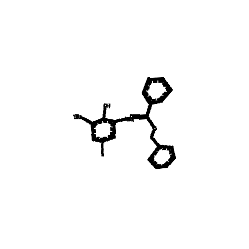 Cc1cc(C(C)(C)C)c(O)c(C(C)(C)C)c1.O=C(OCc1ccccc1)c1ccccc1